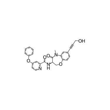 CN1C(=O)[C@H](NC(=O)c2cc(Oc3ccccc3)ccn2)COc2ccc(C#CCO)cc21